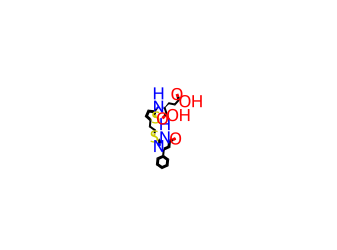 O=C(O)CC[C@H](Nc1ccc(CCSc2nc(-c3ccccc3)cc(=O)[nH]2)s1)C(=O)O